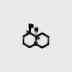 CC[C@@H]1CCCN2CCCC[C@H]12